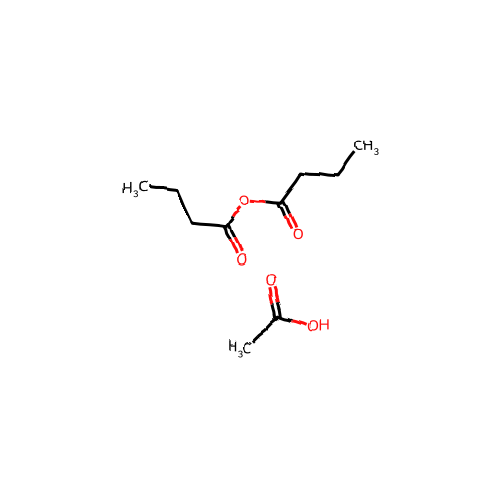 CC(=O)O.CCCC(=O)OC(=O)CCC